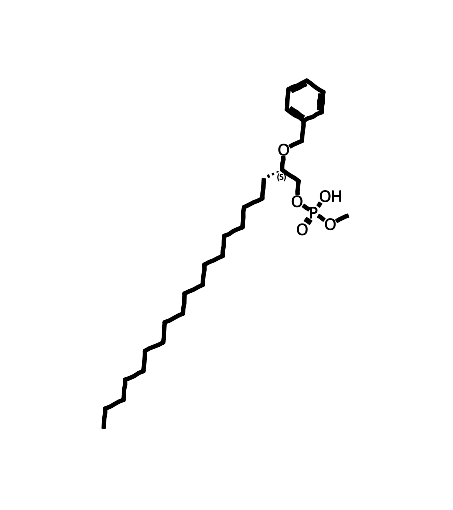 CCCCCCCCCCCCCCCCCC[C@@H](COP(=O)(O)OC)OCc1ccccc1